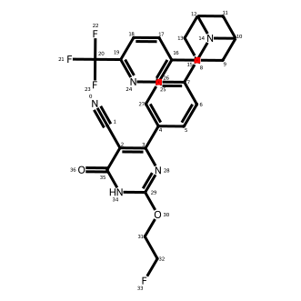 N#Cc1c(-c2ccc(N3CC4CC(C3)N4Cc3ccc(C(F)(F)F)nc3)nc2)nc(OCCF)[nH]c1=O